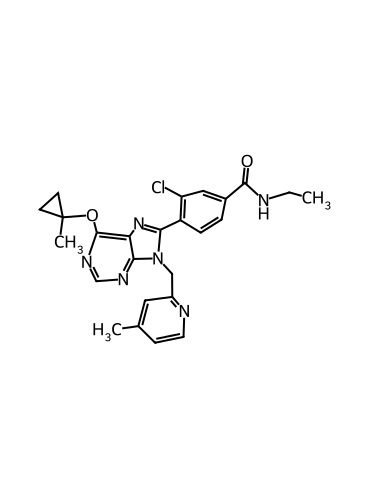 CCNC(=O)c1ccc(-c2nc3c(OC4(C)CC4)ncnc3n2Cc2cc(C)ccn2)c(Cl)c1